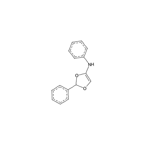 C1=C(Nc2ccccc2)OC(c2ccccc2)O1